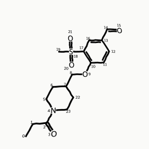 CCC(=O)N1CCC(COc2ccc(C=O)cc2S(C)(=O)=O)CC1